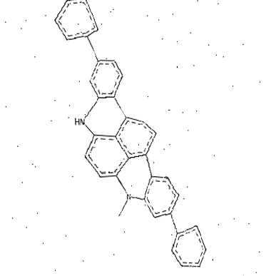 CN1c2cc(-c3ccccc3)ccc2-c2ccc3c4c(ccc1c24)Nc1cc(-c2ccccc2)ccc1-3